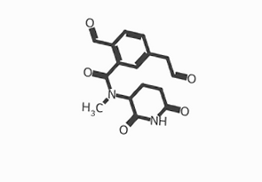 CN(C(=O)c1cc(CC=O)ccc1C=O)C1CCC(=O)NC1=O